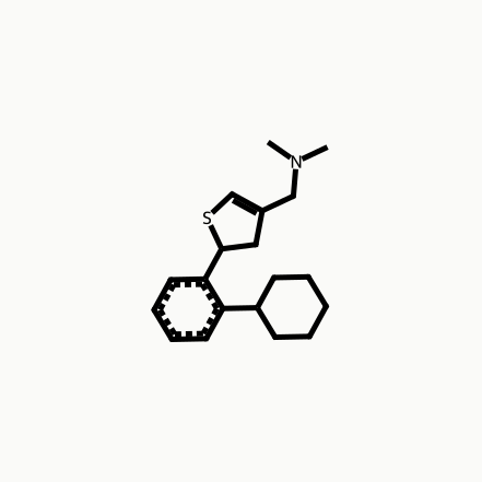 CN(C)CC1=CSC(c2ccccc2C2CCCCC2)C1